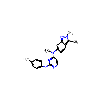 Cc1ccc(Nc2nccc(N(C)c3ccc4c(C)n(C)nc4c3)n2)cc1